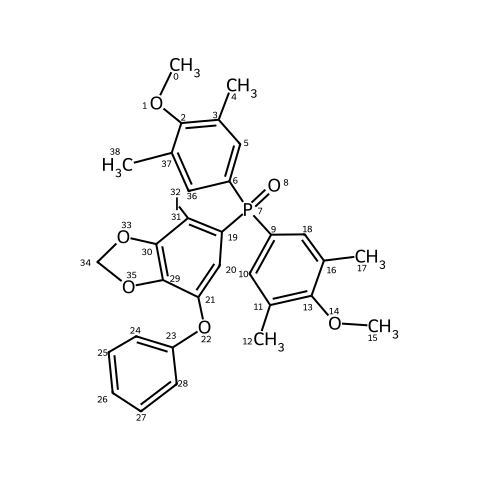 COc1c(C)cc(P(=O)(c2cc(C)c(OC)c(C)c2)c2cc(Oc3ccccc3)c3c(c2I)OCO3)cc1C